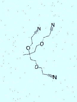 CC(CCOCCC#N)(CCOCCC#N)OCCC#N